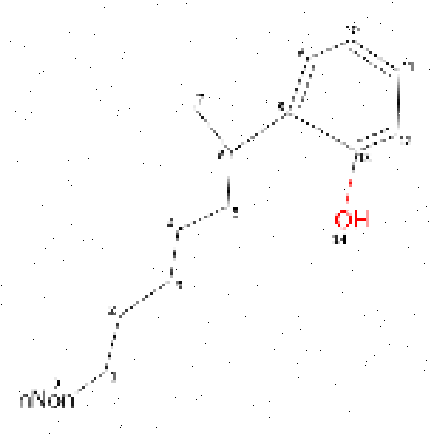 CCCCCCCCCCCCCCC(C)c1ccccc1O